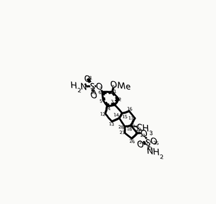 COc1cc2c(cc1OS(N)(=O)=O)CCC1C2CC[C@]2(C)C(OS(N)(=O)=O)CCC12